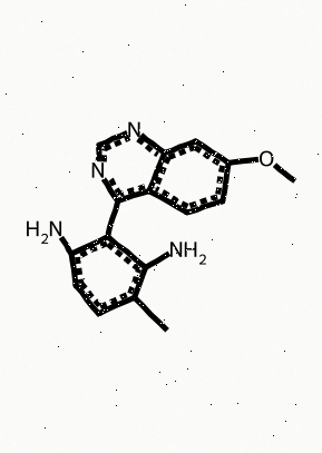 COc1ccc2c(-c3c(N)ccc(C)c3N)ncnc2c1